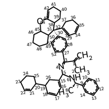 C=C(C)/C(=N\C(N[C@H](C)c1ccccc1)C1=CC=CC(C2C=CCCC2)C1)c1ccc([C@@]2(C3=CC=CCC3)C3CCCC=C3OC3CCCCC32)cc1